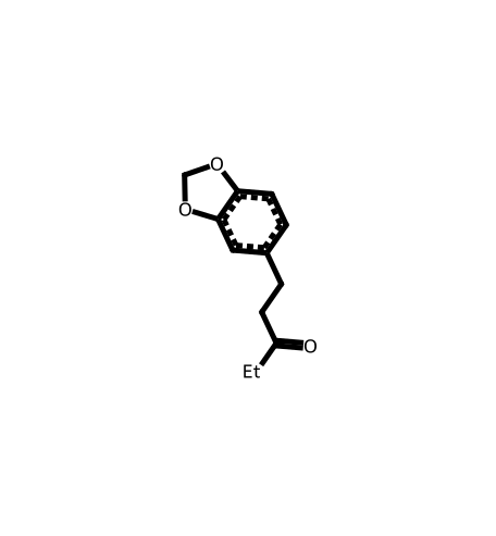 CCC(=O)CCc1ccc2c(c1)OCO2